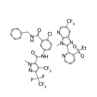 CCS(=O)(=O)c1cccnc1-c1nc2cc(C(F)(F)F)cnc2n1C.Cn1nc(C(F)(F)C(F)(F)F)c(C(F)(F)F)c1C(=O)Nc1ccc(Cl)c(C(=O)NCc2ccccc2)c1